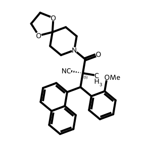 COc1ccccc1C(c1cccc2ccccc12)[C@@](C)(C#N)C(=O)N1CCC2(CC1)OCCO2